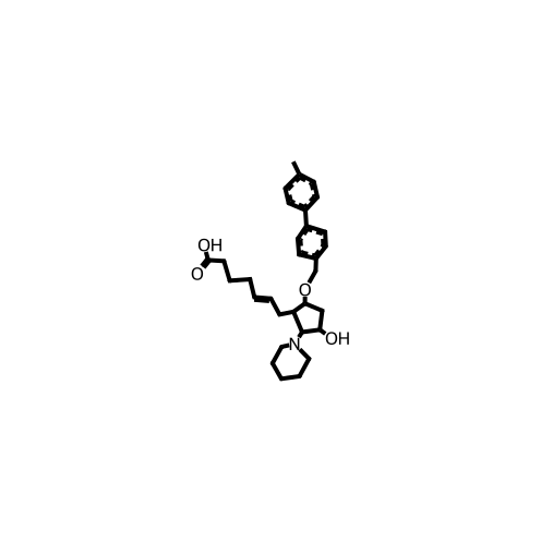 Cc1ccc(-c2ccc(COC3CC(O)C(N4CCCCC4)C3C/C=C/CCCC(=O)O)cc2)cc1